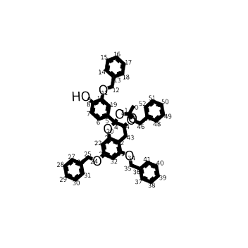 CC(=O)OC1(c2ccc(O)c(OCc3ccccc3)c2)Oc2cc(OCc3ccccc3)cc(OCc3ccccc3)c2CC1OCc1ccccc1